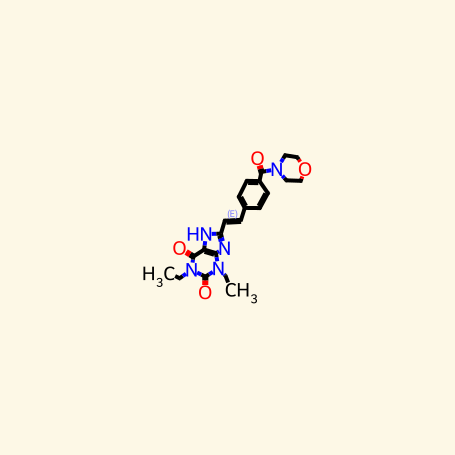 CCn1c(=O)c2[nH]c(/C=C/c3ccc(C(=O)N4CCOCC4)cc3)nc2n(CC)c1=O